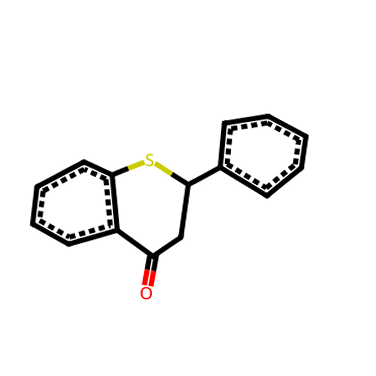 O=C1CC(c2ccccc2)Sc2ccccc21